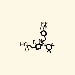 CC1(C)CC(n2c(Cc3ccc(OC(F)(F)F)cc3)nc3c(F)c(CCC(=O)O)ccc32)CC(C)(C)C1